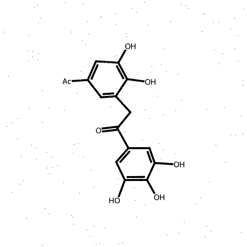 CC(=O)c1cc(O)c(O)c(CC(=O)c2cc(O)c(O)c(O)c2)c1